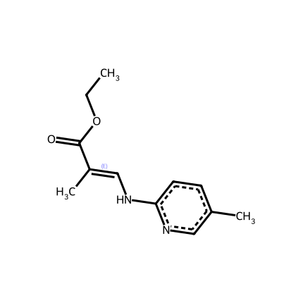 CCOC(=O)/C(C)=C/Nc1ccc(C)cn1